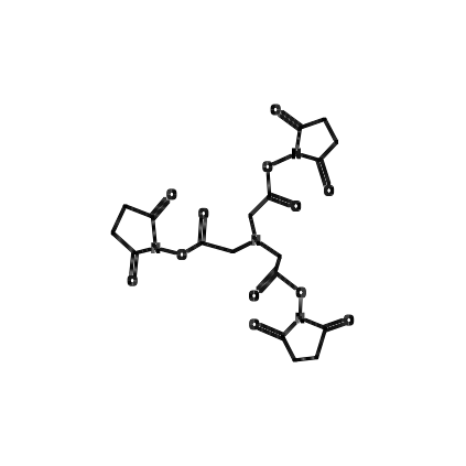 O=C(CN(CC(=O)ON1C(=O)CCC1=O)CC(=O)ON1C(=O)CCC1=O)ON1C(=O)CCC1=O